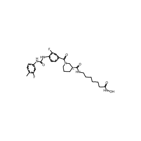 Cc1ccc(NC(=O)Nc2ccc(C(=O)N3CCC[C@H](C(=O)NCCCCCCC(=O)NO)C3)cc2F)cc1F